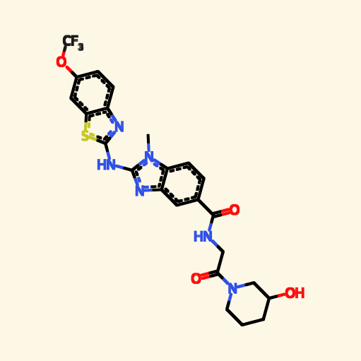 Cn1c(Nc2nc3ccc(OC(F)(F)F)cc3s2)nc2cc(C(=O)NCC(=O)N3CCCC(O)C3)ccc21